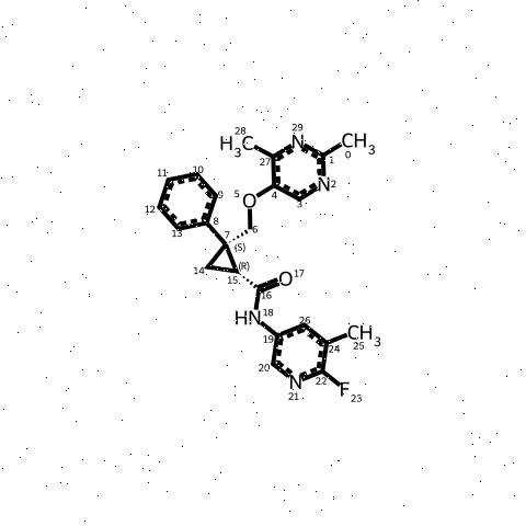 Cc1ncc(OC[C@@]2(c3ccccc3)C[C@H]2C(=O)Nc2cnc(F)c(C)c2)c(C)n1